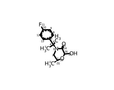 C[C@H]1CN(C(C)(C)c2ccc(F)cc2)C(=O)C(O)O1